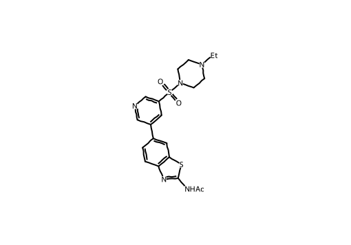 CCN1CCN(S(=O)(=O)c2cncc(-c3ccc4nc(NC(C)=O)sc4c3)c2)CC1